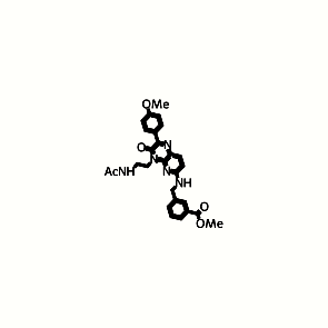 COC(=O)c1cccc(CNc2ccc3nc(-c4ccc(OC)cc4)c(=O)n(CCNC(C)=O)c3n2)c1